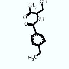 CCc1ccc(C(=O)NC(CO)C(C)=O)cc1